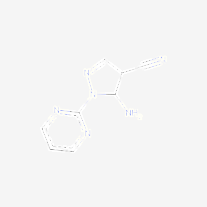 N#CC1C=NN(c2ncccn2)C1N